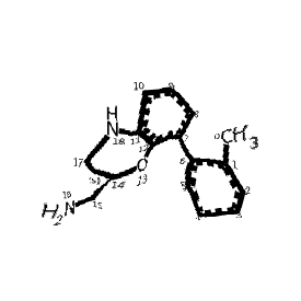 Cc1ccccc1-c1cccc2c1O[C@@H](CN)CN2